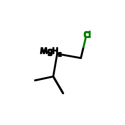 CC(C)CCCl.[MgH2]